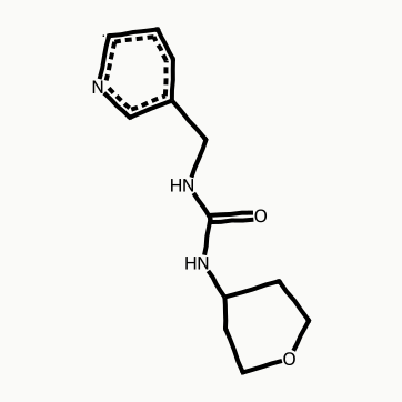 O=C(NCc1cc[c]nc1)NC1CCOCC1